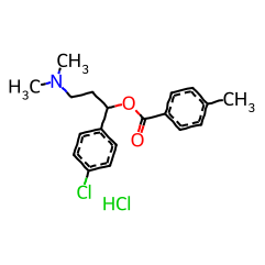 Cc1ccc(C(=O)OC(CCN(C)C)c2ccc(Cl)cc2)cc1.Cl